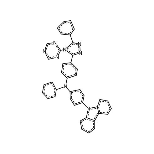 c1ccc(-c2nnc(-c3ccc(N(c4ccccc4)c4ccc(-n5c6ccccc6c6ccccc65)cc4)cc3)n2-c2ncncn2)cc1